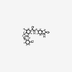 CC1(C)C(=O)N(Cc2c(F)cccc2Cl)c2cc(C(=O)NCc3ccc4c(c3)CC(=O)N4)cc(I)c21